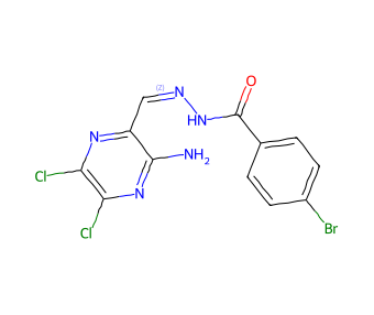 Nc1nc(Cl)c(Cl)nc1/C=N\NC(=O)c1ccc(Br)cc1